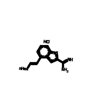 CCCCCC/C=C/c1cccc2sc(C(=N)N)cc12.Cl